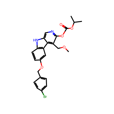 COCc1c(OC(=O)OC(C)C)ncc2[nH]c3ccc(OCc4ccc(Br)cc4)cc3c12